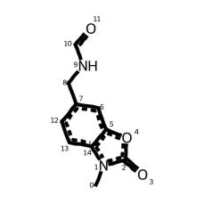 Cn1c(=O)oc2cc(CN[C]=O)ccc21